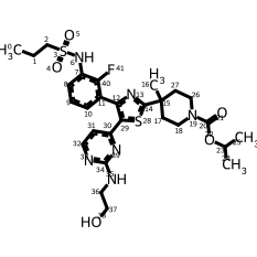 CCCS(=O)(=O)Nc1cccc(-c2nc(C3(C)CCN(C(=O)OC(C)C)CC3)sc2-c2ccnc(NCCO)n2)c1F